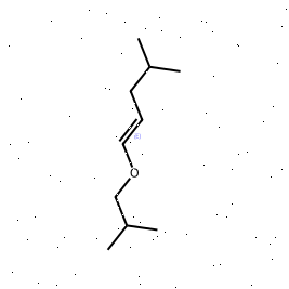 CC(C)C/C=C/OCC(C)C